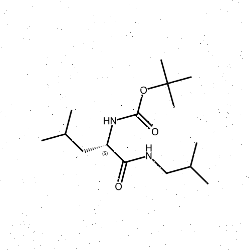 CC(C)CNC(=O)[C@H](CC(C)C)NC(=O)OC(C)(C)C